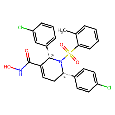 Cc1ccccc1S(=O)(=O)N1[C@@H](c2cccc(Cl)c2)C(C(=O)NO)=CC[C@H]1c1ccc(Cl)cc1